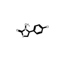 CN1C(=O)SCC1c1ccc(Cl)cc1